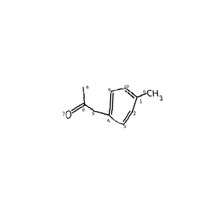 Cc1ccc(CC(=O)I)cc1